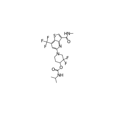 CNC(=O)c1csc2c(C(F)(F)F)cc(N3CCC(OC(=O)NC(C)C)C(F)(F)C3)nc12